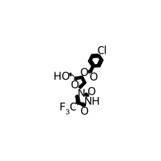 O=C(O[C@@H]1C[C@H](n2cc(C(F)(F)F)c(=O)[nH]c2=O)O[C@@H]1CO)c1ccc(Cl)cc1